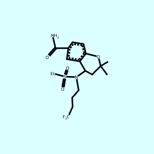 CCS(=O)(=O)N(CCCC(F)(F)F)C1CC(C)(C)Oc2ccc(C(N)=O)cc21